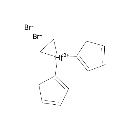 C1=CC[C]([Hf+2]2([C]3=CC=CC3)[CH2][CH2]2)=C1.[Br-].[Br-]